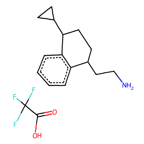 NCCC1CCC(C2CC2)c2ccccc21.O=C(O)C(F)(F)F